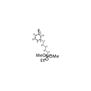 CCO[Si](CCCCCc1cccc(F)c1)(OC)OC